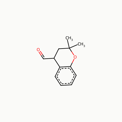 CC1(C)CC(C=O)c2ccccc2O1